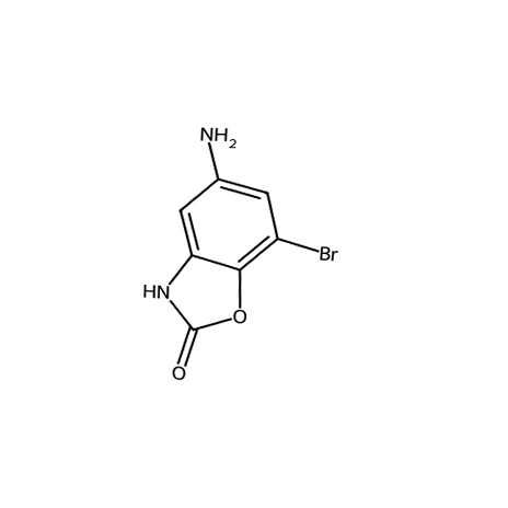 Nc1cc(Br)c2oc(=O)[nH]c2c1